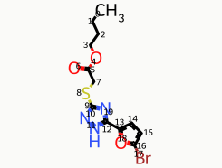 CCCCOC(=O)CSc1n[nH]c(-c2ccc(Br)o2)n1